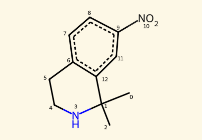 CC1(C)NCCc2ccc([N+](=O)[O-])cc21